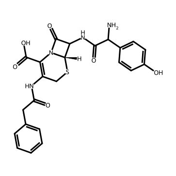 NC(C(=O)NC1C(=O)N2C(C(=O)O)=C(NC(=O)Cc3ccccc3)CS[C@@H]12)c1ccc(O)cc1